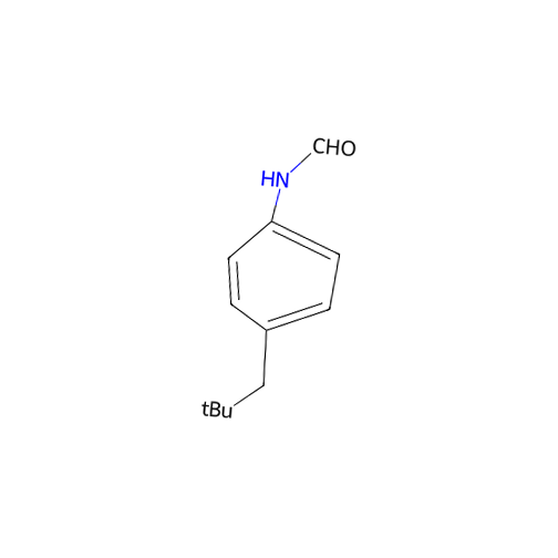 CC(C)(C)Cc1ccc(NC=O)cc1